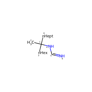 CCCCCCCC(C)(CCCCCC)NC=N